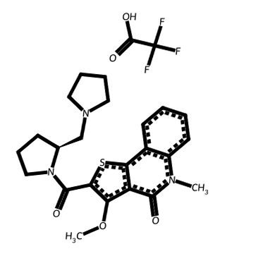 COc1c(C(=O)N2CCC[C@H]2CN2CCCC2)sc2c1c(=O)n(C)c1ccccc21.O=C(O)C(F)(F)F